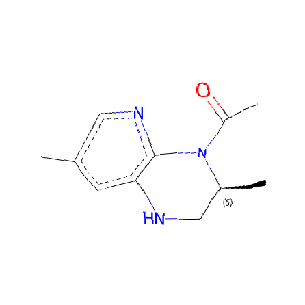 CC(=O)N1c2ncc(C)cc2NC[C@@H]1C